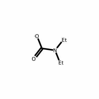 CCN(CC)C([O])=O